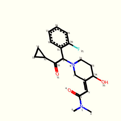 CN(C)C(=O)/C=C1\CN(C(C(=O)C2CC2)c2ccccc2F)CCC1O